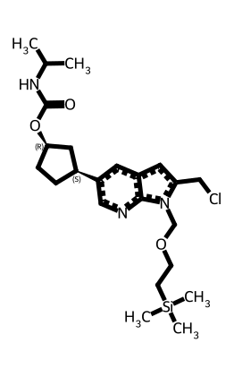 CC(C)NC(=O)O[C@@H]1CC[C@H](c2cnc3c(c2)cc(CCl)n3COCC[Si](C)(C)C)C1